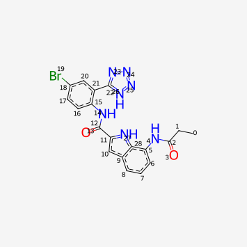 CCC(=O)Nc1cccc2cc(C(=O)Nc3ccc(Br)cc3-c3nnn[nH]3)[nH]c12